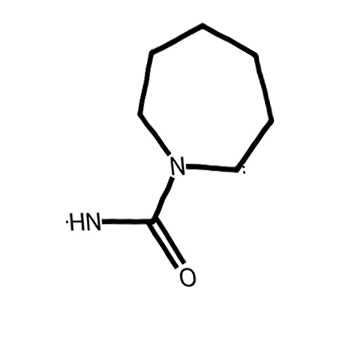 [NH]C(=O)N1[C]CCCCC1